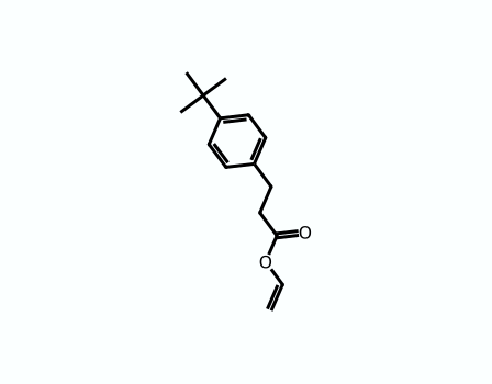 C=COC(=O)CCc1ccc(C(C)(C)C)cc1